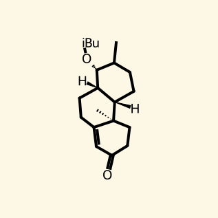 CCC(C)O[C@@H]1C(C)CC[C@H]2[C@@H]1CCC1=CC(=O)CC[C@@]12C